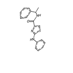 CC(NC(=O)c1csc(Nc2ccccc2)n1)c1ccccc1